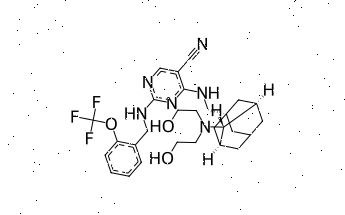 N#Cc1cnc(NCc2ccccc2OC(F)(F)F)nc1NC[C@@]12CC3C[C@H](C1)[C@@H](N(CCO)CCO)[C@@H](C3)C2